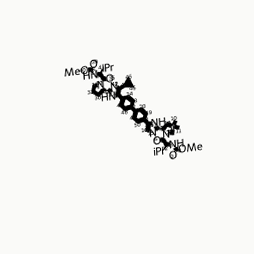 COC(=O)N[C@H](C(=O)N1C[Si](C)(C)C[C@H]1c1ncc(-c2ccc(-c3ccc(-c4[nH]c([C@@H]5CCCN5C(=O)[C@@H](NC(=O)OC)C(C)C)nc4C4CC4)cc3)cc2)[nH]1)C(C)C